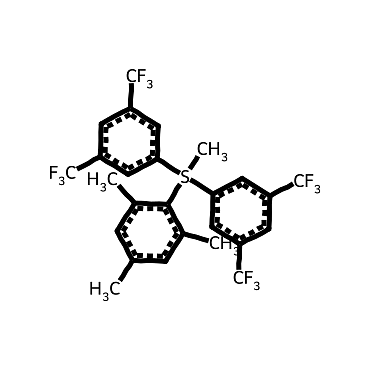 Cc1cc(C)c(S(C)(c2cc(C(F)(F)F)cc(C(F)(F)F)c2)c2cc(C(F)(F)F)cc(C(F)(F)F)c2)c(C)c1